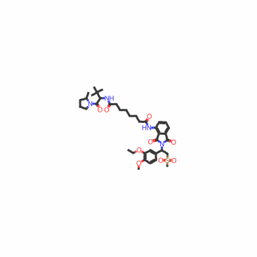 CCOc1cc(C(CS(C)(=O)=O)N2C(=O)c3cccc(NC(=O)CCCCCCC(=O)NC(C(=O)N4CCCC4C)C(C)(C)C)c3C2=O)ccc1OC